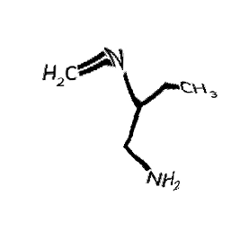 C=NC(C)CN